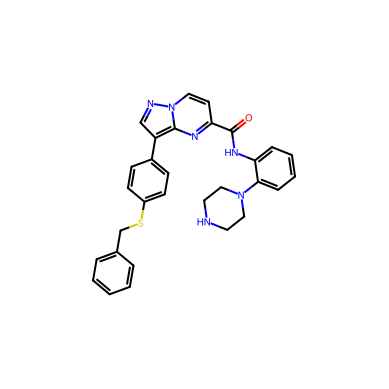 O=C(Nc1ccccc1N1CCNCC1)c1ccn2ncc(-c3ccc(SCc4ccccc4)cc3)c2n1